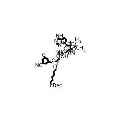 CCCCCCCCCCCCCCCCOC[C@@H](COP(=O)(O)OC[C@@]1(C#N)O[C@@H](C2CC=C3C(N)=NC=NN32)[C@@H]2OC(C)(C)O[C@@H]21)OCc1cc(Cl)cc(C#N)c1